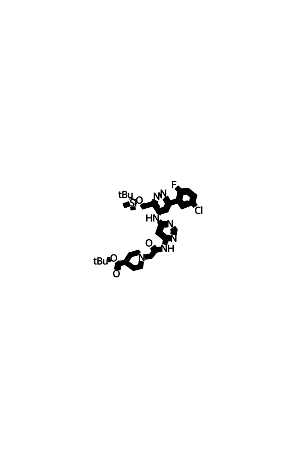 CC(C)(C)OC(=O)C1CCN(CC(=O)Nc2cc(Nc3cc(-c4cc(Cl)ccc4F)nnc3CO[Si](C)(C)C(C)(C)C)ncn2)CC1